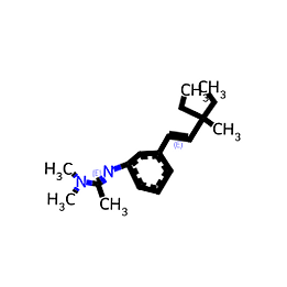 CCC(C)(/C=C/c1cccc(/N=C(\C)N(C)C)c1)CC